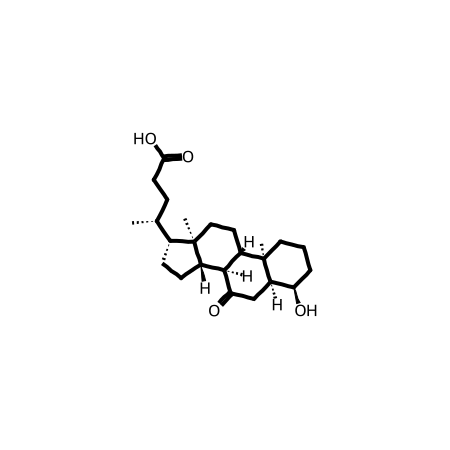 C[C@H](CCC(=O)O)[C@H]1CC[C@H]2[C@@H]3C(=O)C[C@@H]4[C@H](O)CCC[C@]4(C)[C@H]3CC[C@]12C